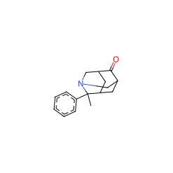 CC1(c2ccccc2)C2CC3CN1CC(C2)C3=O